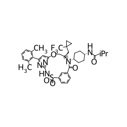 Cc1cccc(C)c1-c1cc2nc(n1)NS(=O)(=O)c1cccc(c1)C(=O)N([C@H]1CC[C@@H](NC(=O)C(C)C)CC1)[C@H](CC1(C(F)(F)F)CC1)CO2